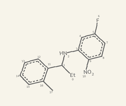 CCC(Nc1cc(F)ccc1[N+](=O)[O-])c1ccccc1C